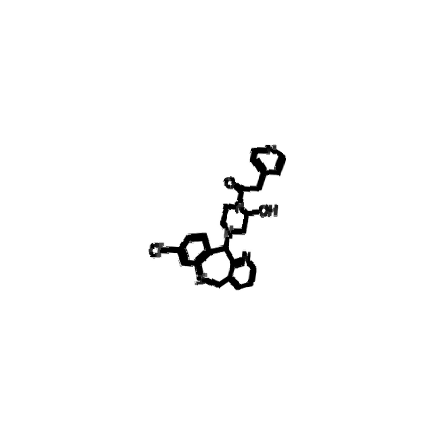 O=C(Cc1ccncc1)N1CCN(C2c3ccc(Cl)cc3SCc3cccnc32)CC1O